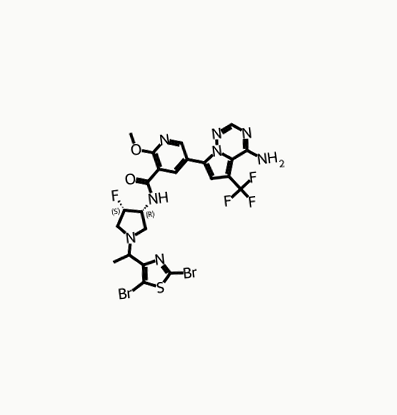 COc1ncc(-c2cc(C(F)(F)F)c3c(N)ncnn23)cc1C(=O)N[C@@H]1CN(C(C)c2nc(Br)sc2Br)C[C@@H]1F